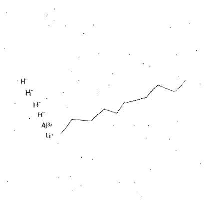 CCCCCCCCCC.[Al+3].[H-].[H-].[H-].[H-].[Li+]